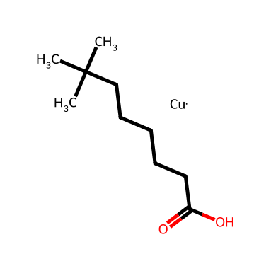 CC(C)(C)CCCCCC(=O)O.[Cu]